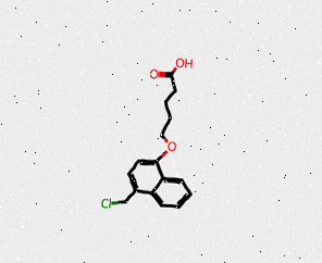 O=C(O)CCCCOc1ccc(CCl)c2ccccc12